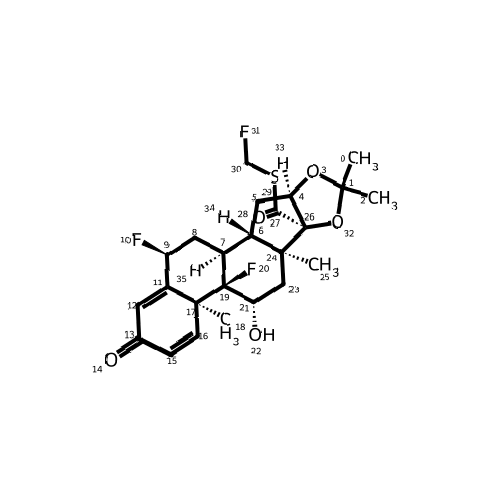 CC1(C)O[C@@H]2C[C@H]3[C@@H]4C[C@H](F)C5=CC(=O)C=C[C@]5(C)[C@@]4(F)[C@@H](O)C[C@]3(C)[C@]2(C(=O)SCF)O1